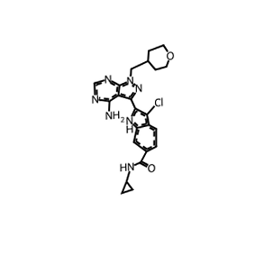 Nc1ncnc2c1c(-c1[nH]c3cc(C(=O)NC4CC4)ccc3c1Cl)nn2CC1CCOCC1